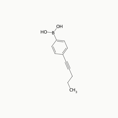 CCCC#Cc1ccc(B(O)O)cc1